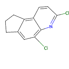 Clc1ccc2c3c(cc(Cl)c2n1)CCC3